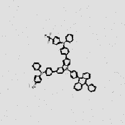 Cc1ccc(N(c2ccccc2)c2ccc(-c3ccc4c(c3)c3cc(-c5ccc(N(c6ccccc6)c6ccc(C(F)(F)F)cc6)cc5)ccc3n4-c3ccc(-c4c5ccccc5c(-c5ccccc5)c5ccccc45)cc3)cc2)cc1